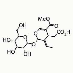 C/C=C1/[C@H](O[C@@H]2O[C@H](CO)[C@@H](O)[C@H](O)[C@H]2O)OC=C(C(=O)OC)[C@H]1CC(=O)O